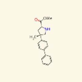 COC(=O)[C@@H]1C[C@@](C)(c2ccc(-c3ccccc3)cc2)CN1